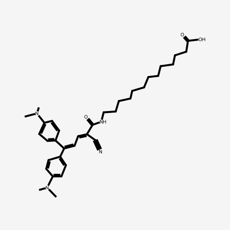 CN(C)c1ccc(C(=C/C=C(\C#N)C(=O)NCCCCCCCCCCCCC(=O)O)c2ccc(N(C)C)cc2)cc1